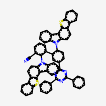 N#Cc1cccc(-c2cc(-c3nc(-c4ccccc4)nc(-c4ccccc4)n3)ccc2-n2c3ccccc3c3c4sc5ccccc5c4ccc32)c1-n1c2ccccc2c2c3sc4ccccc4c3ccc21